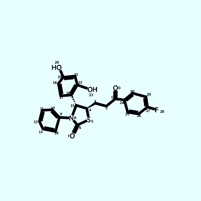 O=C(CC[C@H]1SC(=O)N(c2ccccc2)[C@@H]1c1ccc(O)cc1O)c1ccc(F)cc1